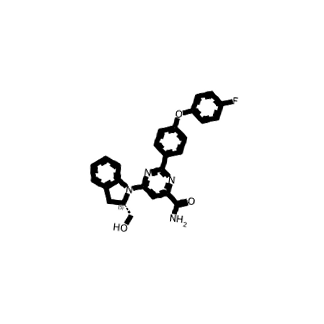 NC(=O)c1cc(N2c3ccccc3C[C@H]2CO)nc(-c2ccc(Oc3ccc(F)cc3)cc2)n1